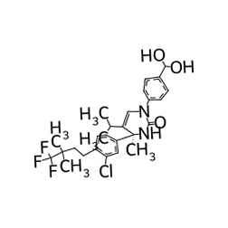 CC(C)C1=CN(c2ccc(C(O)O)cc2)C(=O)N[C@@]1(C)c1ccc(CCC(C)(C)C(F)(F)F)c(Cl)c1